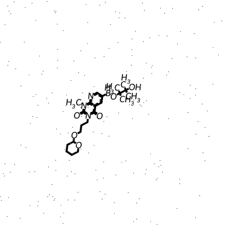 Cn1c(=O)n(CCCOC2CCCCO2)c(=O)c2cc(BOC(C)(C)C(C)(C)O)cnc21